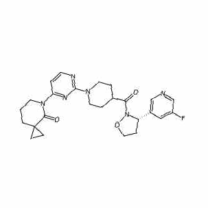 O=C(C1CCN(c2nccc(N3CCCC4(CC4)C3=O)n2)CC1)N1OCC[C@H]1c1cncc(F)c1